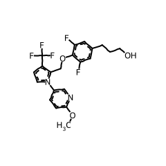 COc1ccc(-n2ccc(C(F)(F)F)c2COc2c(F)cc(CCCO)cc2F)cn1